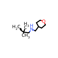 C=CC(C)(C)CNCC1CCOCC1